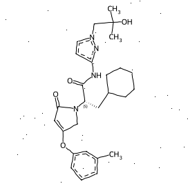 Cc1cccc(OC2=CC(=O)N([C@@H](CC3CCCCC3)C(=O)Nc3ccn(CC(C)(C)O)n3)C2)c1